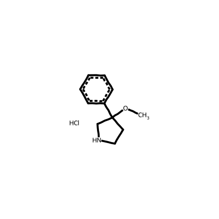 COC1(c2ccccc2)CCNC1.Cl